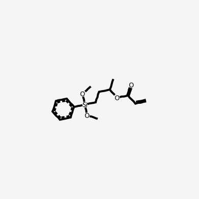 C=CC(=O)OC(C)CC[Si](OC)(OC)c1ccccc1